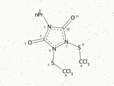 CCCn1c(=O)n(SC(Cl)(Cl)Cl)n(SC(Cl)(Cl)Cl)c1=O